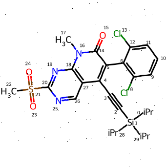 CC(C)[Si](C#Cc1c(-c2c(Cl)cccc2Cl)c(=O)n(C)c2nc(S(C)(=O)=O)ncc12)(C(C)C)C(C)C